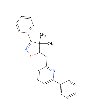 CC1(C)C(c2ccccc2)=NOC1Cc1cccc(-c2ccccc2)n1